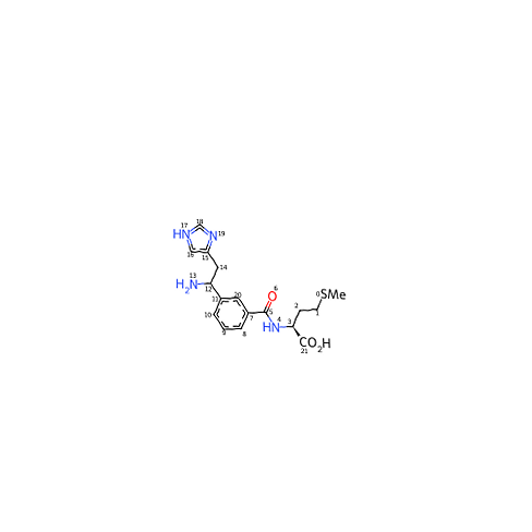 CSCC[C@H](NC(=O)c1cccc(C(N)Cc2c[nH]cn2)c1)C(=O)O